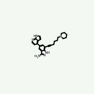 Nc1n[nH]c2c(C#CCCCCN3CCCCC3)cc(-c3ccnc4[nH]ccc34)cc12